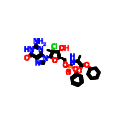 C[C@H](NP(=O)(OC[C@H]1O[C@@H](n2cnc3c(=O)[nH]c(N)nc32)[C@](C)(Cl)[C@@H]1O)Oc1ccccc1)C(=O)OC1CCCCC1